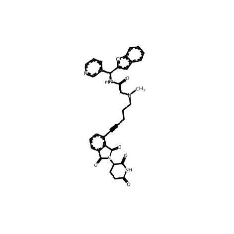 CN(CCCC#Cc1cccc2c1C(=O)N(C1CCC(=O)NC1=O)C2=O)CC(=O)NC(c1cccnc1)c1cc2ccccc2o1